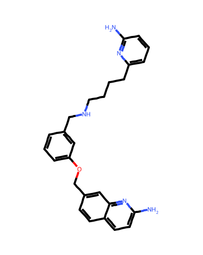 Nc1cccc(CCCCNCc2cccc(OCc3ccc4ccc(N)nc4c3)c2)n1